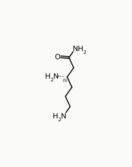 NCCC[C@H](N)CC(N)=O